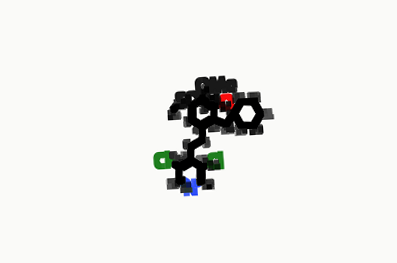 COc1ccc(CCc2c(Cl)cncc2Cl)c2c1OC1(CCCCC1)C2.CS(=O)(=O)O